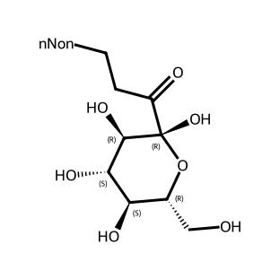 CCCCCCCCCCCC(=O)[C@]1(O)O[C@H](CO)[C@@H](O)[C@H](O)[C@H]1O